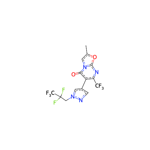 Cc1cn2c(=O)c(-c3cnn(CC(F)(F)C(F)(F)F)c3)c(C(F)(F)F)nc2o1